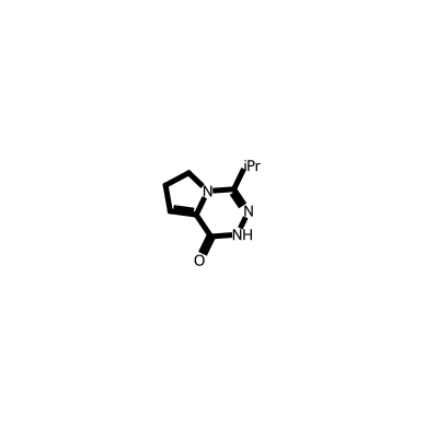 CC(C)C1=NNC(=O)C2=CCCN21